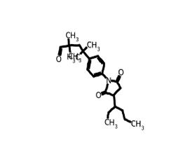 CCCC(CC)C1CC(=O)N(c2ccc(C(C)(C)CC(C)(C)C=O)cc2)C1=O